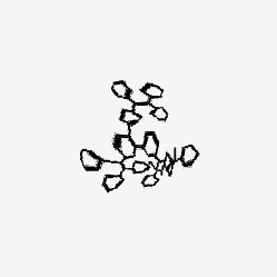 c1ccc(C(=C(c2ccccc2)c2ccc(-c3ccc(C(=C(c4ccccc4)c4ccccc4)c4ccccc4)cc3-c3cccc(-c4nc(-c5ccccc5)nc(-c5ccccc5)n4)c3)cc2)c2ccccc2)cc1